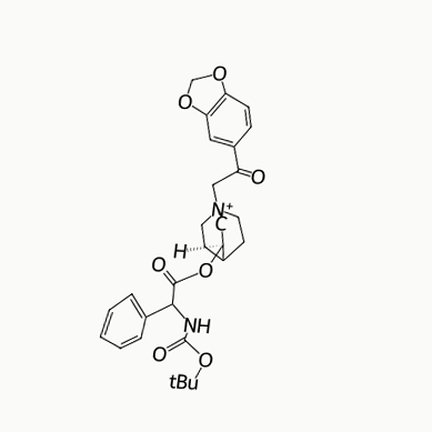 CC(C)(C)OC(=O)NC(C(=O)O[C@H]1C[N+]2(CC(=O)c3ccc4c(c3)OCO4)CCC1CC2)c1ccccc1